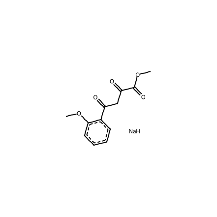 COC(=O)C(=O)CC(=O)c1ccccc1OC.[NaH]